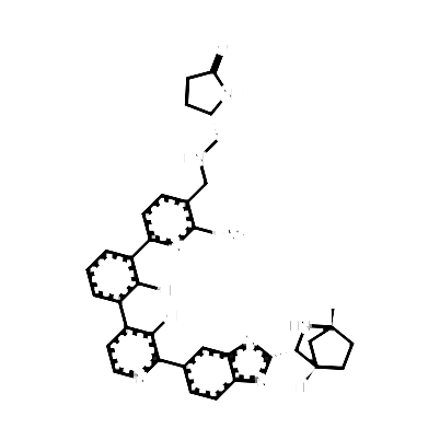 COc1nc(-c2cccc(-c3ccnc(-c4ccc5nc([C@@H]6N[C@@H]7CC[C@H]6C7)[nH]c5c4)c3Cl)c2Cl)ccc1CNC[C@@H]1CCC(=O)N1